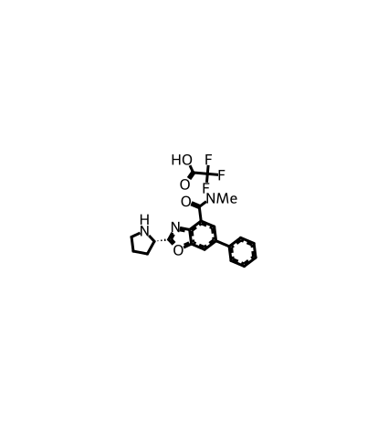 CNC(=O)c1cc(-c2ccccc2)cc2oc([C@@H]3CCCN3)nc12.O=C(O)C(F)(F)F